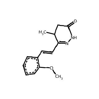 COc1ccccc1C=CC1=NNC(=O)CC1C